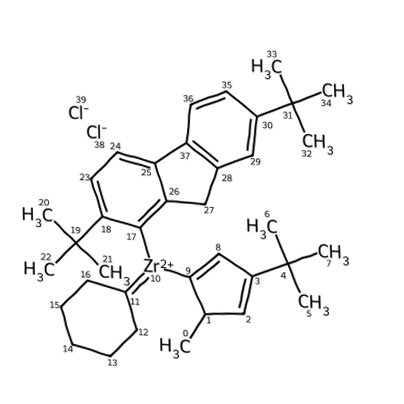 CC1C=C(C(C)(C)C)C=[C]1[Zr+2](=[C]1CCCCC1)[c]1c(C(C)(C)C)ccc2c1Cc1cc(C(C)(C)C)ccc1-2.[Cl-].[Cl-]